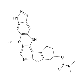 CC(C)Oc1cc2[nH]ncc2cc1Nc1ncnc2sc3c(c12)CCC(OC(=O)N(C)C)C3